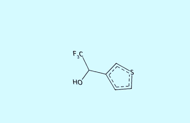 OC(c1ccsc1)C(F)(F)F